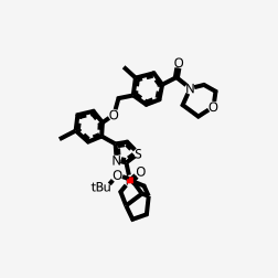 Cc1ccc(OCc2ccc(C(=O)N3CCOCC3)cc2C)c(-c2csc(N3CC4CCC(C3)C4C(=O)OC(C)(C)C)n2)c1